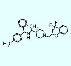 C=C(NC(c1ccc(C)cc1)c1ccccn1)C1CCN(CCOC2=CCCC=C2C(F)(F)F)CC1